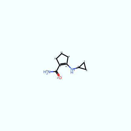 NC(=O)C1=C(NC2CC2)CCC1